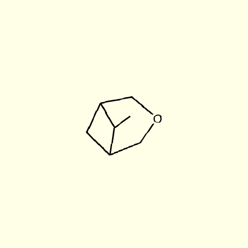 CC1C2COCC1C2